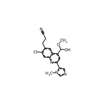 COC(O)c1cc(-c2cncn2C)nc2cc(Cl)c(CCC#N)cc12